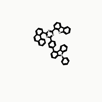 c1ccc(-n2c3ccccc3c3c(-c4ccc(-c5nc(-c6cccc7c6oc6ccccc67)nc(-c6cccc7ccc8ccccc8c67)n5)cc4)cccc32)cc1